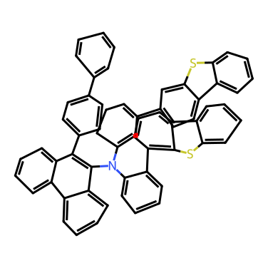 C1=C(c2ccc3c(c2)sc2ccccc23)C=C(N(c2ccccc2-c2cccc3c2sc2ccccc23)c2c(-c3ccc(-c4ccccc4)cc3)c3ccccc3c3ccccc23)CC1